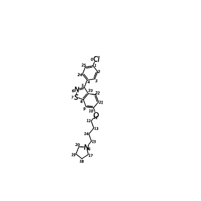 Clc1ccc(-c2nsc3cc(OCCCCN4CCCC4)ccc23)cc1